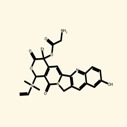 C=C[Si](C)(C)C1OC(=O)C(CC)(OC(=O)CN)c2cc3n(c(=O)c21)Cc1cc2cc(O)ccc2nc1-3